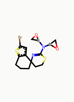 Brc1cc2c(s1)CCCC21CCSC(N(B2CO2)B2CO2)=N1